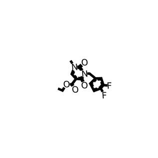 CCOC(=O)c1cn(C)c(=O)n(Cc2ccc(F)c(F)c2)c1=O